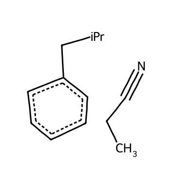 CC(C)Cc1ccccc1.CCC#N